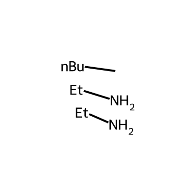 CCCCC.CCN.CCN